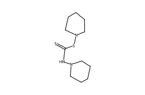 S=C(NN1CCCCC1)SN1CCCCC1